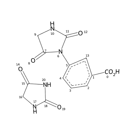 O=C(O)c1cccc(N2C(=O)CNC2=O)c1.O=C1CNC(=O)N1